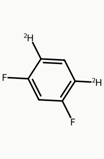 [2H]c1cc([2H])c(F)cc1F